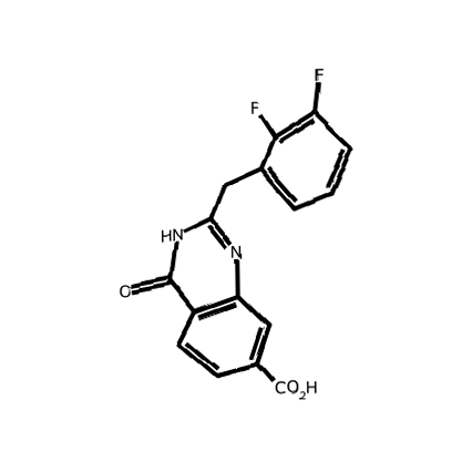 O=C(O)c1ccc2c(=O)[nH]c(Cc3cccc(F)c3F)nc2c1